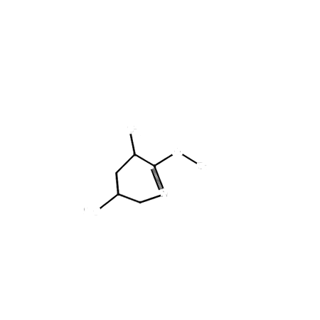 CCOC1=NCC(C(F)(F)F)CC1C(F)(F)F